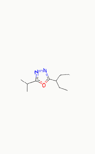 CCC(CC)c1nnc(C(C)C)o1